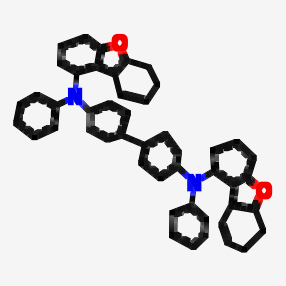 C1=Cc2c(oc3cccc(N(c4ccccc4)c4ccc(-c5ccc(N(c6ccccc6)c6cccc7oc8c(c67)C=CCC8)cc5)cc4)c23)CC1